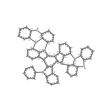 c1ccc(-n2c3ccccc3c3c2c2c4cccc5c4n(c2c2c4cccc6c4n(c32)-c2cccc3c2B6c2ccccc2S3)-c2cccc3c2B5c2ccccc2O3)cc1